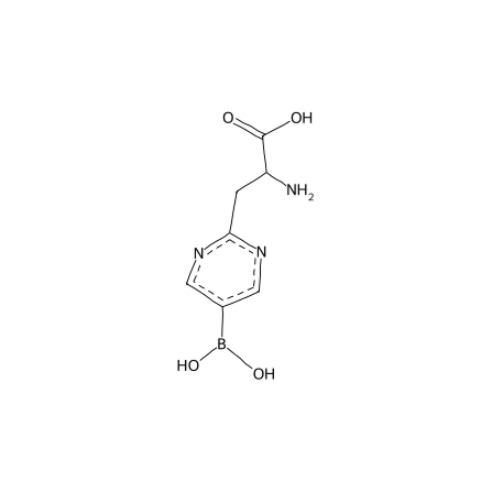 NC(Cc1ncc(B(O)O)cn1)C(=O)O